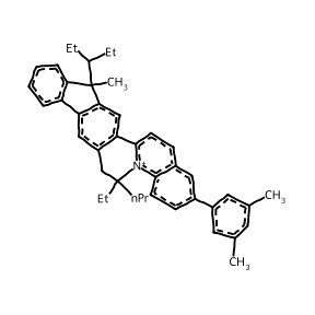 CCCC1(CC)Cc2cc3c(cc2-c2ccc4cc(-c5cc(C)cc(C)c5)ccc4[n+]21)C(C)(C(CC)CC)c1ccccc1-3